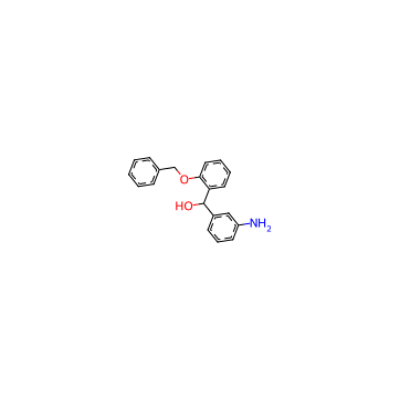 Nc1cccc(C(O)c2ccccc2OCc2ccccc2)c1